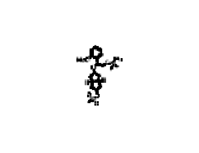 COc1ccccc1C(CO[Si](C)(C)C(C)(C)C)OC1C[C@@H]2CC(OS(C)(=O)=O)C[C@@H]2C1